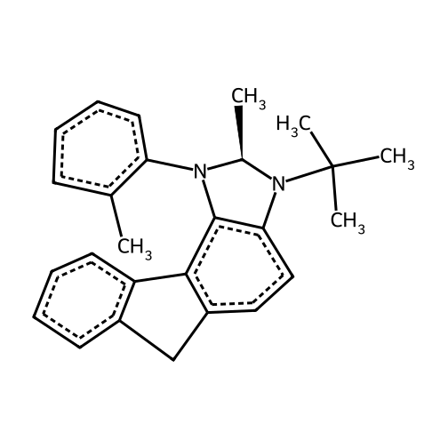 Cc1ccccc1N1c2c(ccc3c2-c2ccccc2C3)N(C(C)(C)C)[C@@H]1C